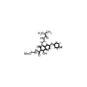 COCCNC(=O)c1c(O)c2ncc(Cc3ccc(F)cc3)cc2n(CCNC(=O)N(C)C)c1=O